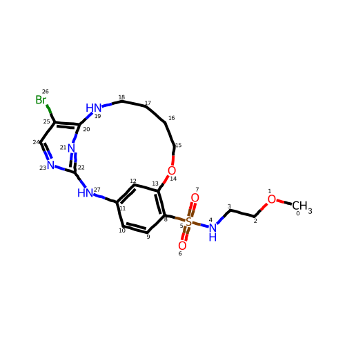 COCCNS(=O)(=O)c1ccc2cc1OCCCCNc1nc(ncc1Br)N2